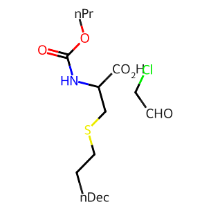 CCCCCCCCCCCCSCC(NC(=O)OCCC)C(=O)O.O=CCCl